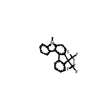 Cn1c2ccccc2c2c3c(ccc21)C(C(F)(F)F)(C(F)(F)F)c1ccccc1-3